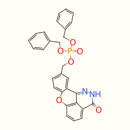 O=c1[nH]nc2c3c(cccc13)Oc1ccc(COP(=O)(OCc3ccccc3)OCc3ccccc3)cc1-2